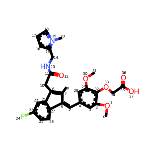 COc1cc(C=C2C(C)=C(CC(=O)NCc3cccn3C)c3cc(F)ccc32)cc(OC)c1OCC(=O)O